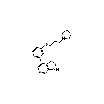 c1cc(OCCCN2CCCC2)cc(-c2cccc3c2CCN3)c1